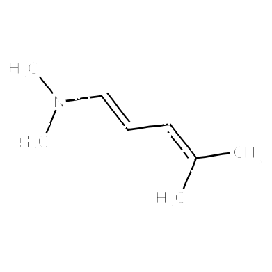 CC(C)=C/C=C/N(C)C